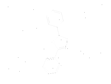 c1ccc(C2CN=C(c3ccccn3)O2)cc1